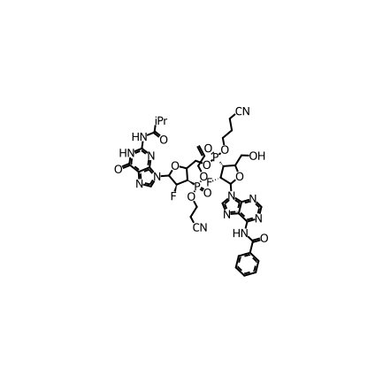 C=CCOP(=O)(OCCC#N)[C@@H]1C(COP(=O)(OCCCC#N)[C@@H]2C(CO)OC(n3cnc4c(NC(=O)c5ccccc5)ncnc43)[C@@H]2F)OC(n2cnc3c(=O)[nH]c(NC(=O)C(C)C)nc32)[C@@H]1F